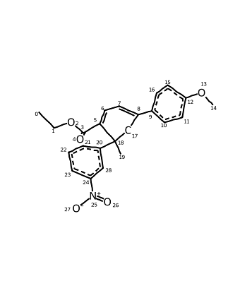 CCOC(=O)C1=CC=C(c2ccc(OC)cc2)CC1(C)c1cccc([N+](=O)[O-])c1